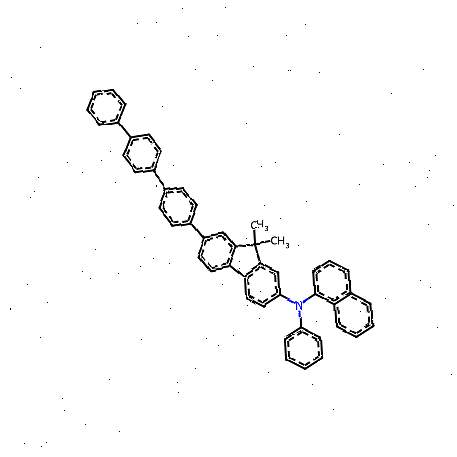 CC1(C)c2cc(-c3ccc(-c4ccc(-c5ccccc5)cc4)cc3)ccc2-c2ccc(N(c3ccccc3)c3cccc4ccccc34)cc21